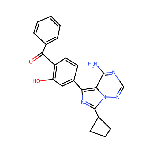 Nc1ncnn2c(C3CCC3)nc(-c3ccc(C(=O)c4ccccc4)c(O)c3)c12